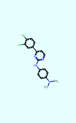 CN(C)c1ccc(Nc2nccc(-c3ccc(Cl)c(Cl)c3)n2)cc1